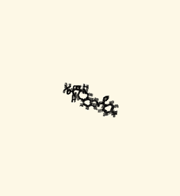 CC(C)(C)OC(=O)N[C@H]1Cc2ccc3c(c2CNC1=O)CN(C(=O)c1ccc(F)cc1)C3